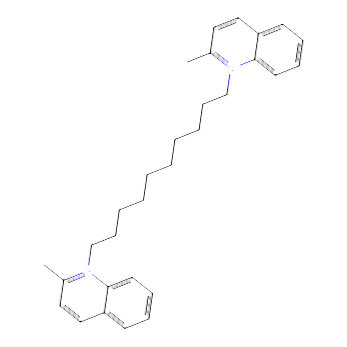 Cc1ccc2ccccc2[n+]1CCCCCCCCCC[n+]1c(C)ccc2ccccc21.[I-].[I-]